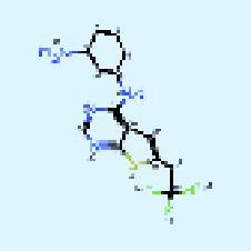 NC1CCCC(Nc2ncnc3sc(CC(F)(F)F)cc23)C1